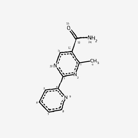 Cc1nc(-c2ccccn2)ncc1C(N)=O